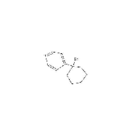 CCC1(c2cc[c]cc2)CCCCC1